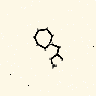 CCC(C)CC(C)CN1CCCCCC1